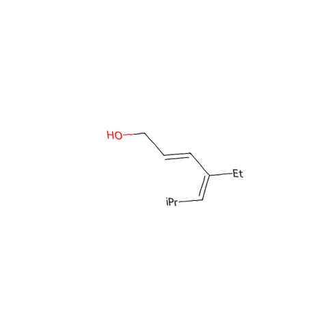 CCC(C=CCO)=CC(C)C